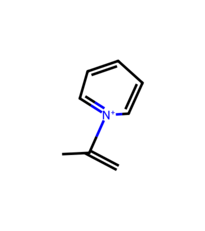 C=C(C)[n+]1ccccc1